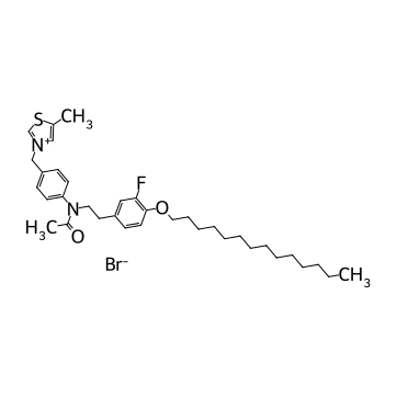 CCCCCCCCCCCCCCOc1ccc(CCN(C(C)=O)c2ccc(C[n+]3csc(C)c3)cc2)cc1F.[Br-]